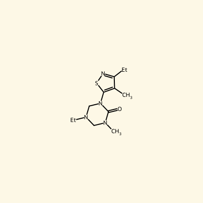 CCc1nsc(N2CN(CC)CN(C)C2=O)c1C